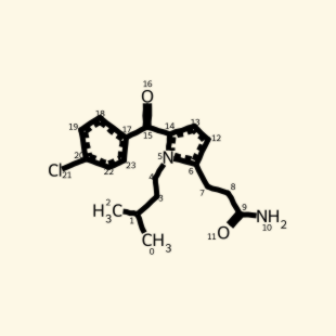 CC(C)CCn1c(CCC(N)=O)ccc1C(=O)c1ccc(Cl)cc1